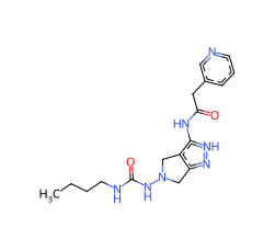 CCCCNC(=O)NN1Cc2n[nH]c(NC(=O)Cc3cccnc3)c2C1